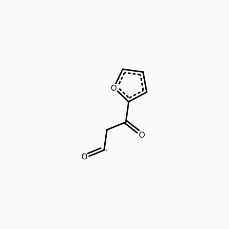 O=[C]CC(=O)c1ccco1